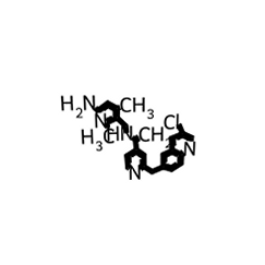 C=C(NCc1c(C)cc(N)nc1C)c1ccnc(Cc2ccc3ncc(Cl)cc3c2)c1